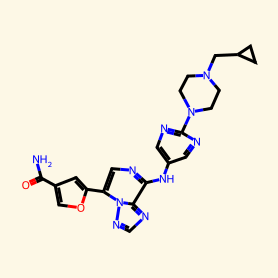 NC(=O)c1coc(-c2cnc(Nc3cnc(N4CCN(CC5CC5)CC4)nc3)c3ncnn23)c1